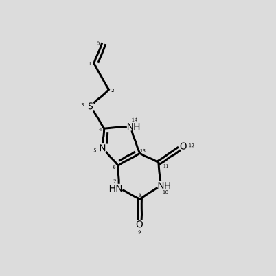 C=CCSc1nc2[nH]c(=O)[nH]c(=O)c2[nH]1